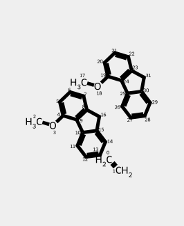 C=C.COc1cccc2c1-c1ccccc1C2.COc1cccc2c1-c1ccccc1C2